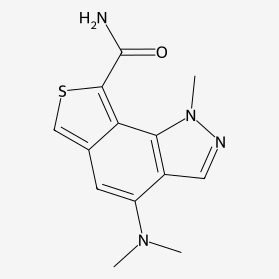 CN(C)c1cc2csc(C(N)=O)c2c2c1cnn2C